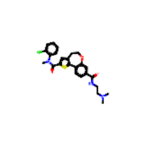 CN(C)CCNC(=O)c1ccc2c(c1)OCCc1cc(C(=O)N(C)c3ccccc3Cl)sc1-2